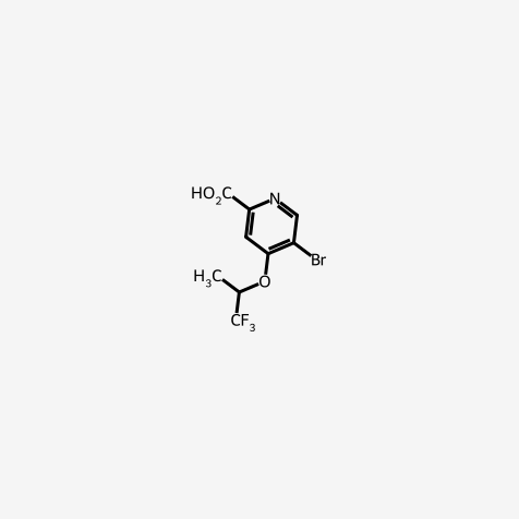 CC(Oc1cc(C(=O)O)ncc1Br)C(F)(F)F